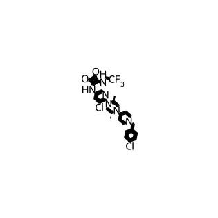 C[C@@H]1CN(c2ncc(Nc3c(NCC(F)(F)F)c(=O)c3=O)cc2Cl)[C@@H](C)CN1C1CCN(Cc2ccc(Cl)cc2)CC1